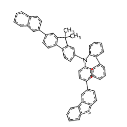 CC1(C)c2cc(-c3ccc4ccccc4c3)ccc2-c2ccc(N(c3ccc(-c4ccc5sc6ccccc6c5c4)cc3)c3ccccc3-c3ccccc3)cc21